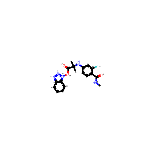 CNC(=O)c1ccc(NC(C)(C)C(=O)On2nnc3ccccc32)cc1F